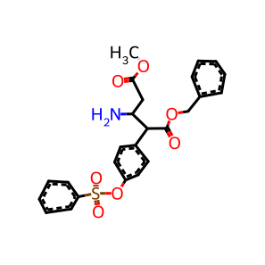 COC(=O)CC(N)C(C(=O)OCc1ccccc1)c1ccc(OS(=O)(=O)c2ccccc2)cc1